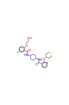 Cc1ccc(OCCO)c(C(=O)NC2CCC(NC(=O)c3cccnc3OC3CCSCC3)CC2)c1